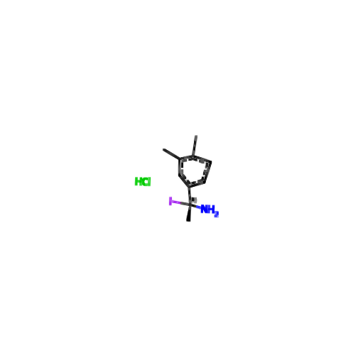 Cc1ccc([C@](C)(N)I)cc1C.Cl